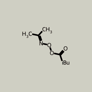 CCC(C)C(=O)OON=C(C)C